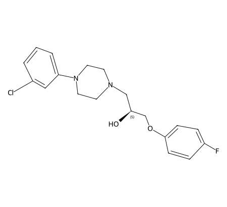 O[C@H](COc1ccc(F)cc1)CN1CCN(c2cccc(Cl)c2)CC1